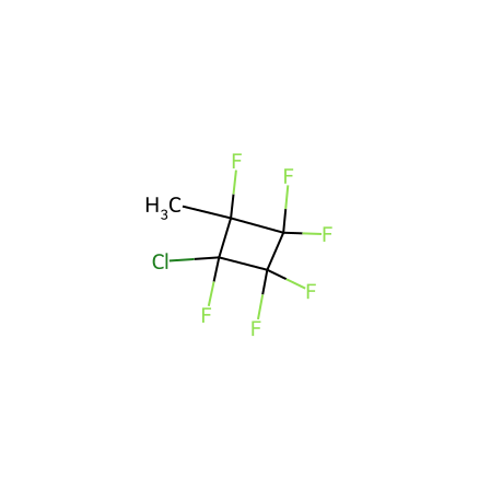 CC1(F)C(F)(F)C(F)(F)C1(F)Cl